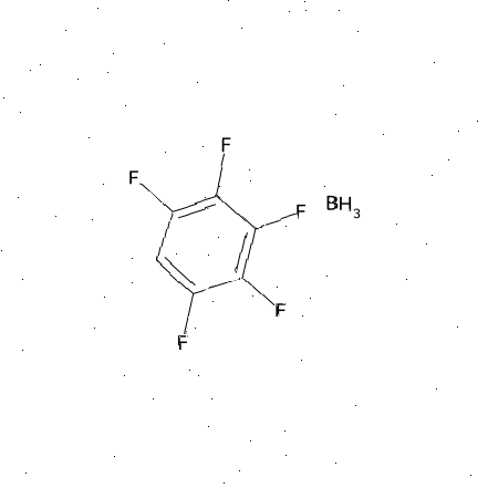 B.Fc1cc(F)c(F)c(F)c1F